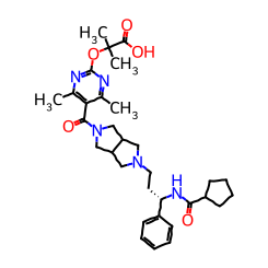 Cc1nc(OC(C)(C)C(=O)O)nc(C)c1C(=O)N1CC2CN(CC[C@H](NC(=O)C3CCCC3)c3ccccc3)CC2C1